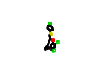 CCCCC(CSc1ccc(Cl)cc1)Oc1ccc(Cl)cc1Cl